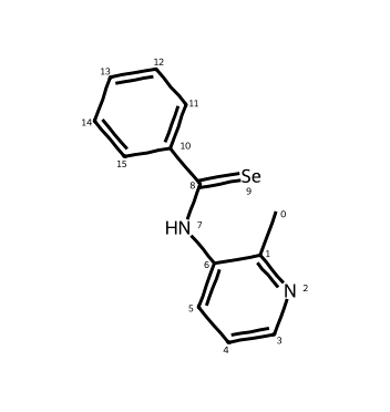 Cc1ncccc1NC(=[Se])c1ccccc1